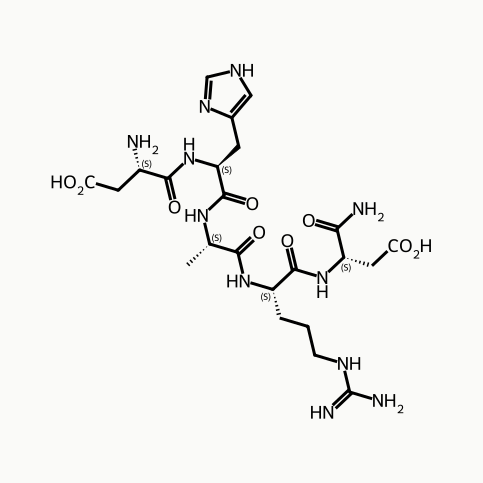 C[C@H](NC(=O)[C@H](Cc1c[nH]cn1)NC(=O)[C@@H](N)CC(=O)O)C(=O)N[C@@H](CCCNC(=N)N)C(=O)N[C@@H](CC(=O)O)C(N)=O